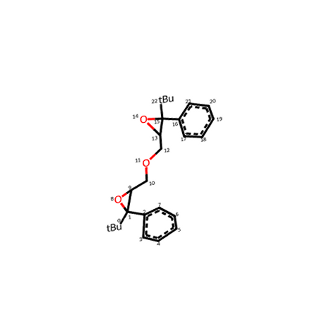 CC(C)(C)C1(c2ccccc2)OC1COCC1OC1(c1ccccc1)C(C)(C)C